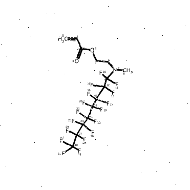 C=CC(=O)OCCN(C)C(F)(F)C(F)(F)C(F)(F)C(F)(F)C(F)(F)C(F)(F)C(F)(F)C(F)(F)F